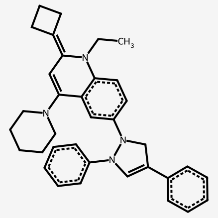 CCN1C(=C2CCC2)C=C(N2CCCCC2)c2cc(N3CC(c4ccccc4)=CN3c3ccccc3)ccc21